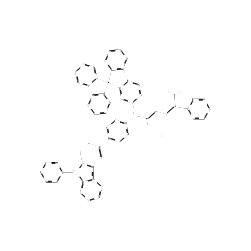 C/C(=C\C=C1\c2ccccc2OC1C)N(c1ccc(C2=Cc3c(n(-c4ccccc4)c4ccccc34)CC2)cc1)c1ccc2c(c1)C(c1ccccc1)(c1ccccc1)c1ccccc1-2